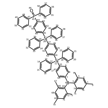 Cc1cc(C)c(B(c2ccc([Si](c3ccccc3)(c3ccccc3)c3ccc([Si](c4ccccc4)(c4ccccc4)c4ccc(P(=O)(c5ccccc5)c5ccccc5)cc4)cc3)cc2)c2c(C)cc(C)cc2C)c(C)c1